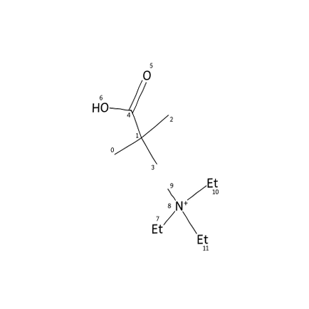 CC(C)(C)C(=O)O.CC[N+](C)(CC)CC